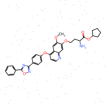 COc1cc2c(Oc3ccc(-c4noc(-c5ccccc5)n4)cc3)ccnc2cc1OCC[C@H](N)C(=O)OC1CCCC1